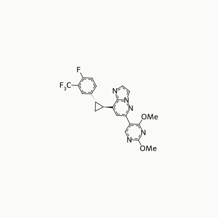 COc1ncc(-c2cc([C@H]3C[C@@H]3c3ccc(F)c(C(F)(F)F)c3)c3nccn3n2)c(OC)n1